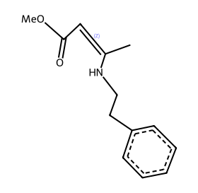 COC(=O)/C=C(/C)NCCc1ccccc1